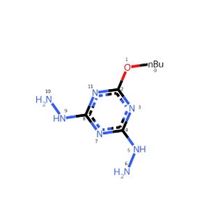 CCCCOc1nc(NN)nc(NN)n1